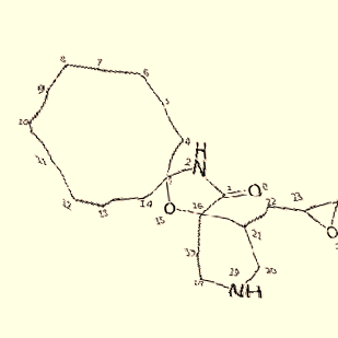 O=C1NC2(CCCCCCCCCCC2)OC12CCNCC2CC1CO1